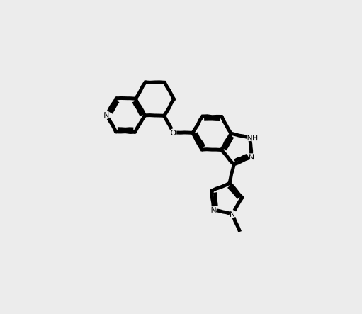 Cn1cc(-c2n[nH]c3ccc(OC4CCCc5cnccc54)cc23)cn1